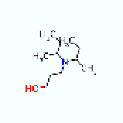 CCC(C)N(CCCO)C(C)CC